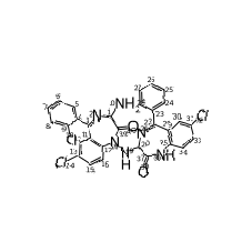 NC1N=C(c2ccccc2Cl)c2cc(Cl)ccc2N(NC2N=C(c3ccccc3)c3cc(Cl)ccc3NC2=O)C1=O